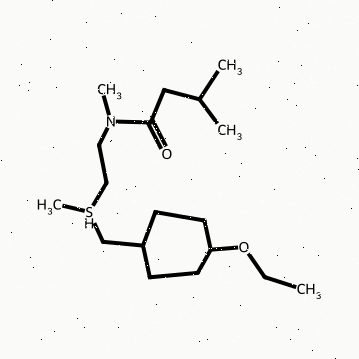 CCOC1CCC(C[SH](C)CCN(C)C(=O)CC(C)C)CC1